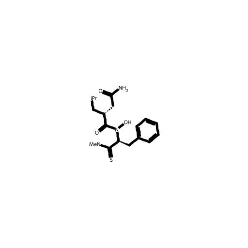 CNC(=S)[C@H](Cc1ccccc1)N(O)C(=O)[C@@H](CC(N)=O)CC(C)C